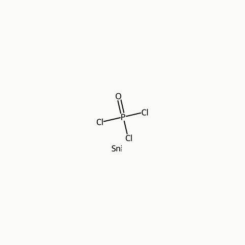 O=P(Cl)(Cl)Cl.[Sn]